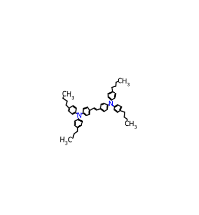 CCCCc1ccc(N(c2ccc(/C=C/c3ccc(N(c4ccc(CCCC)cc4)c4ccc(CCCC)cc4)cc3)cc2)c2ccc(CCCC)cc2)cc1